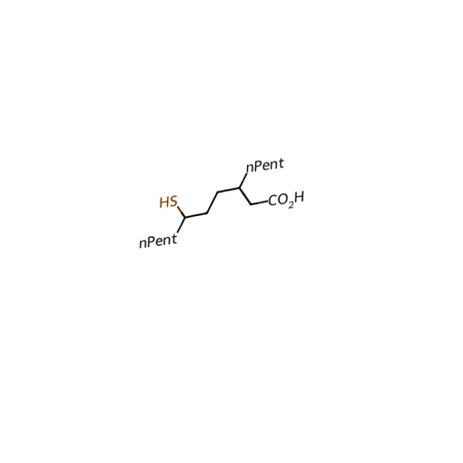 CCCCCC(S)CCC(CCCCC)CC(=O)O